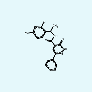 CC(NC(=O)c1cc(-c2ccncc2)n[nH]c1=O)c1ccc(Cl)cc1Cl